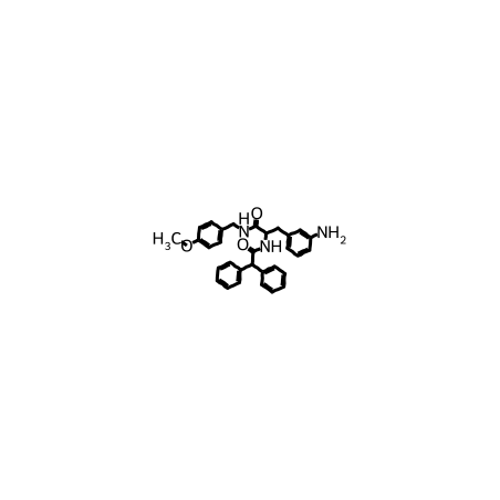 COc1ccc(CNC(=O)C(Cc2cccc(N)c2)NC(=O)C(c2ccccc2)c2ccccc2)cc1